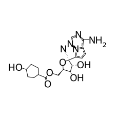 N#C[C@@]1(c2ccc3c(N)ncnn23)O[C@H](COC(=O)C2CCC(O)CC2)[C@@H](O)[C@H]1O